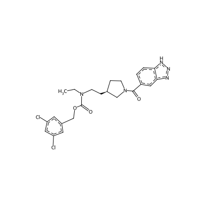 CCN(CC[C@H]1CCN(C(=O)c2ccc3[nH]nnc3c2)C1)C(=O)OCc1cc(Cl)cc(Cl)c1